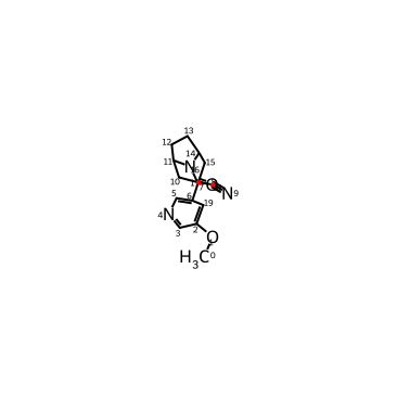 COc1cncc(C2(C#N)CC3CCC(C2)N3C=O)c1